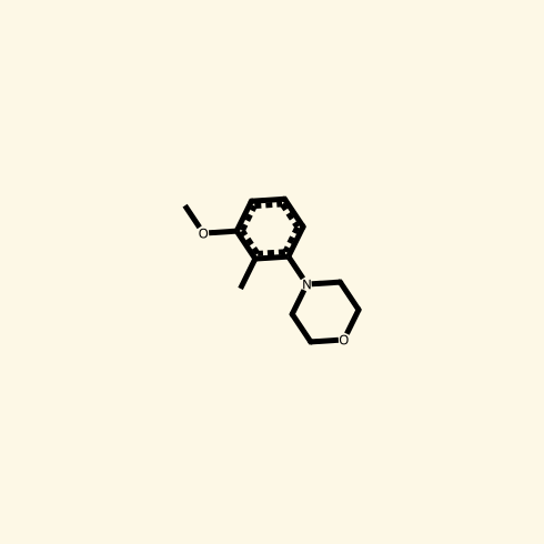 COc1cccc(N2CCOCC2)c1C